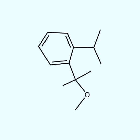 COC(C)(C)c1ccccc1C(C)C